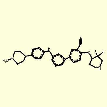 CN1CCC(c2ccc(Nc3nccc(-c4ccc(OC5CCNCC5(F)F)c(C#N)c4)n3)cc2)CC1